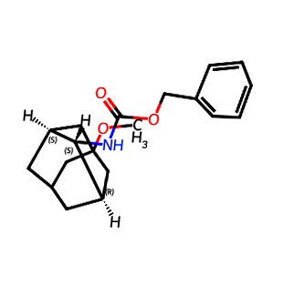 COC12CC3C[C@H](C1)[C@@H](NC(=O)OCc1ccccc1)[C@@H](C3)C2